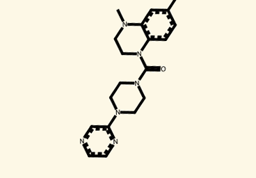 CN1CCN(C(=O)N2CCN(c3cnccn3)CC2)c2ccc(Cl)cc21